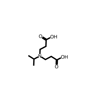 CC(C)N(CCC(=O)O)CCC(=O)O